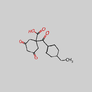 CCC1CCC(C(=O)C2(C(=O)O)CC(=O)CC(=O)C2)CC1